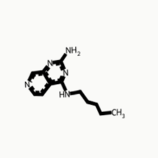 CCCCCNc1nc(N)nc2cnccc12